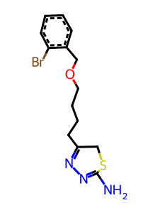 NC1=NN=C(CCCCOCc2ccccc2Br)CS1